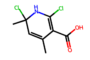 CC1=CC(C)(Cl)NC(Cl)=C1C(=O)O